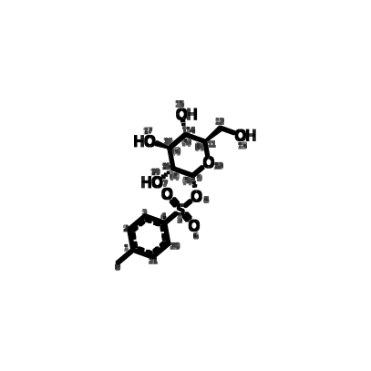 Cc1ccc(S(=O)(=O)O[C@H]2O[C@H](CO)[C@@H](O)[C@H](O)[C@H]2O)cc1